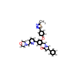 Cc1nnc(-c2ccc(Oc3cc(-c4cccc(CN5CCOCC5)n4)ccc3CN3CC(c4ccccc4)CC3=O)cc2)s1